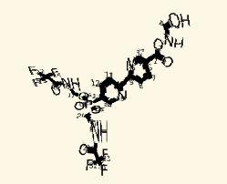 O=C(ONCO)c1ccc(-c2ccc(P(=O)(OCNC(=O)C(F)(F)F)OCNC(=O)C(F)(F)F)cn2)nc1